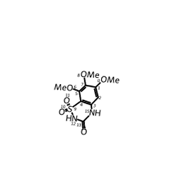 COc1cc2c(c(OC)c1OC)S(=O)(=O)NC(=O)N2